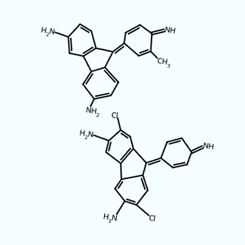 CC1=CC(=C2c3ccc(N)cc3-c3cc(N)ccc32)C=CC1=N.N=C1C=CC(=C2c3cc(Cl)c(N)cc3-c3cc(N)c(Cl)cc32)C=C1